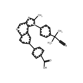 Cc1nc2cnc3ccc(-c4ccc(C(=O)O)cc4)cc3c2n1-c1ccc(C(C)(C)C#N)cc1